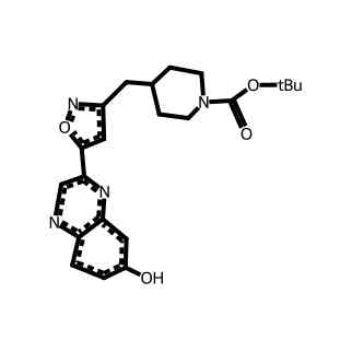 CC(C)(C)OC(=O)N1CCC(Cc2cc(-c3cnc4ccc(O)cc4n3)on2)CC1